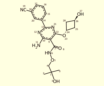 CC(C)(O)CONC(=O)c1c(N)nc(-c2cccc(C#N)c2)nc1O[C@H]1C[C@H](O)C1